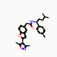 Cc1ccc(C(CCC(C)C)NC(=O)Cc2ccc3oc(-c4c(C)noc4C)cc3c2)cc1